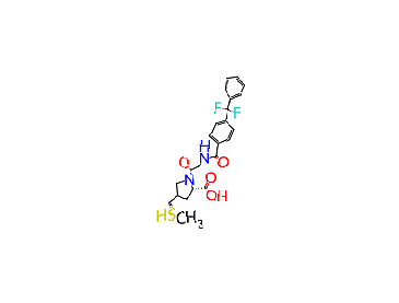 C/[SH]=C\C1C[C@@H](C(=O)O)N(C(=O)CNC(=O)c2ccc(C(F)(F)c3ccccc3)cc2)C1